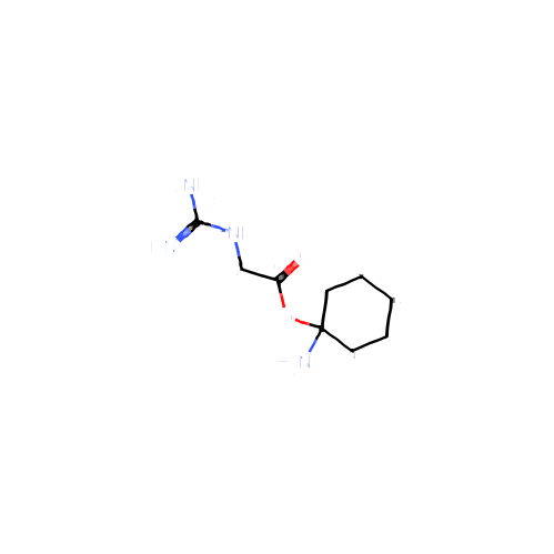 N=C(N)NCC(=O)OC1(N)CCCCC1